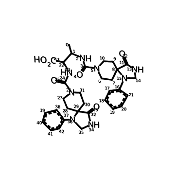 CC(NC(=O)N1CCC2(CC1)C(=O)NCN2c1ccccc1)C(NC(=O)N1CCC2(CC1)C(=O)NCN2c1ccccc1)C(=O)O